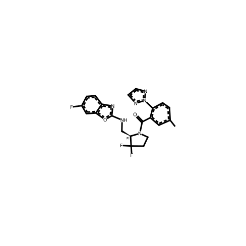 Cc1ccc(-n2nccn2)c(C(=O)N2CCC(F)(F)[C@H]2CNc2nc3ccc(F)cc3o2)c1